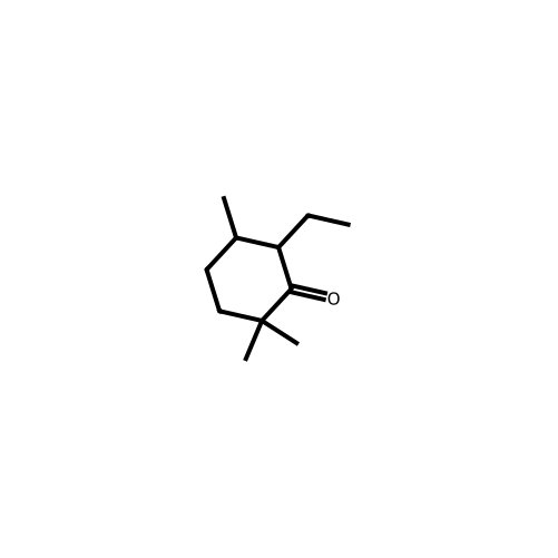 CCC1C(=O)C(C)(C)CCC1C